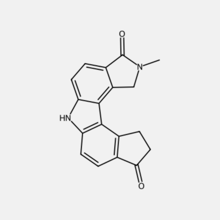 CN1Cc2c(ccc3[nH]c4ccc5c(c4c23)CCC5=O)C1=O